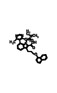 Cc1ncnc(C)c1-c1cccc2c(CCCOc3cccc4ccccc34)c(C(=O)O)n(CC(=O)N(C)C)c12